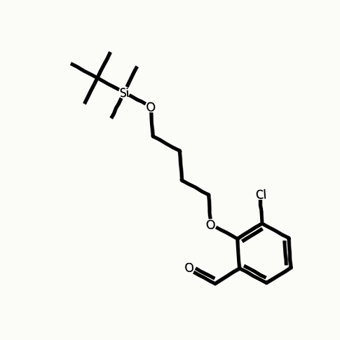 CC(C)(C)[Si](C)(C)OCCCCOc1c(Cl)cccc1C=O